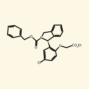 CCOC(=O)COc1ccc(Cl)cc1[C@@H]1c2ccccc2CN1C(=O)OCc1ccccc1